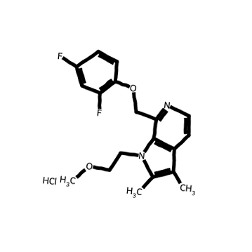 COCCn1c(C)c(C)c2ccnc(COc3ccc(F)cc3F)c21.Cl